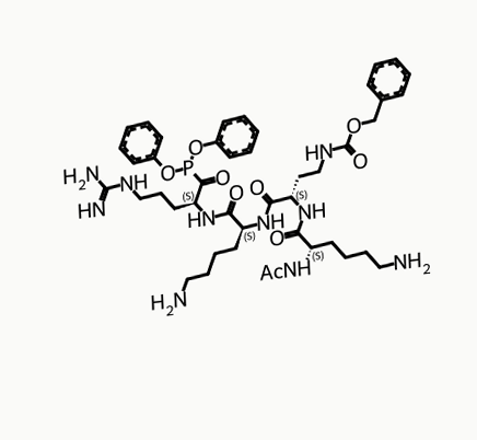 CC(=O)N[C@@H](CCCCN)C(=O)N[C@@H](CCNC(=O)OCc1ccccc1)C(=O)N[C@@H](CCCCN)C(=O)N[C@@H](CCCNC(=N)N)C(=O)P(Oc1ccccc1)Oc1ccccc1